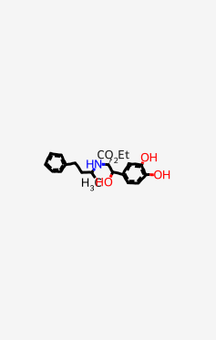 CCOC(=O)[C@@H](NC(C)CCc1ccccc1)C(O)c1ccc(O)c(O)c1